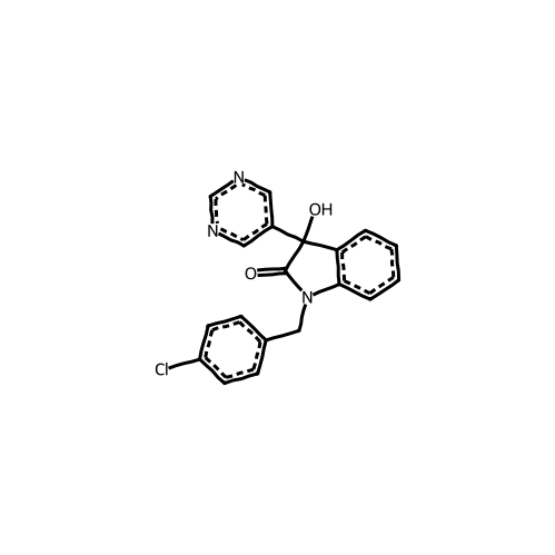 O=C1N(Cc2ccc(Cl)cc2)c2ccccc2C1(O)c1cncnc1